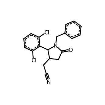 N#CCC1CC(=O)N(Cc2ccccc2)C1c1c(Cl)cccc1Cl